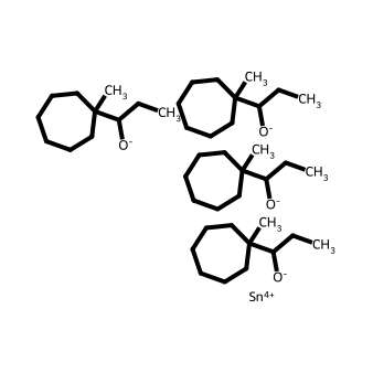 CCC([O-])C1(C)CCCCCC1.CCC([O-])C1(C)CCCCCC1.CCC([O-])C1(C)CCCCCC1.CCC([O-])C1(C)CCCCCC1.[Sn+4]